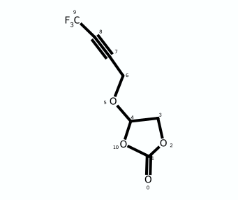 O=C1OCC(OCC#CC(F)(F)F)O1